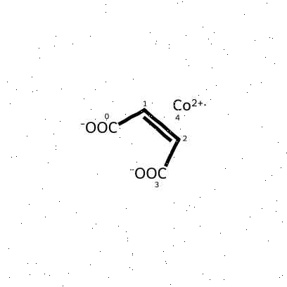 O=C([O-])/C=C\C(=O)[O-].[Co+2]